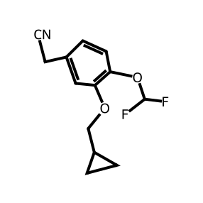 N#CCc1ccc(OC(F)F)c(OCC2CC2)c1